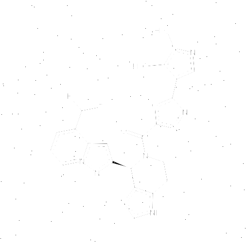 Cc1c(-c2nnc(C(=O)N3CCc4[nH]cnc4[C@H]3c3cc4c(C(F)F)cccn4n3)o2)cnn1C